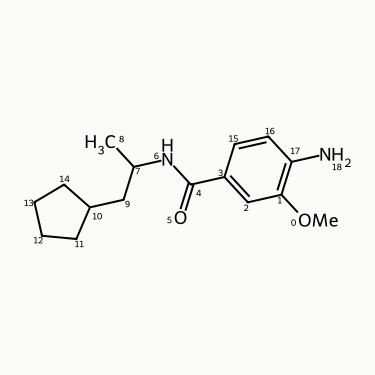 COc1cc(C(=O)NC(C)CC2CCCC2)ccc1N